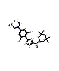 CN(c1nnc(-c2c(F)cc(/C(C=N)=C/N)cc2F)s1)C1CC(C)(C)NC(C)(C)C1